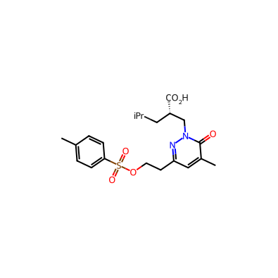 Cc1ccc(S(=O)(=O)OCCc2cc(C)c(=O)n(C[C@H](CC(C)C)C(=O)O)n2)cc1